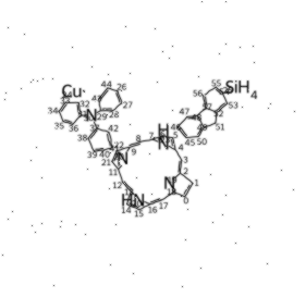 C1=Cc2cc3ccc(cc4nc(cc5ccc(cc1n2)[nH]5)C=C4)[nH]3.[Cu].[SiH4].c1ccc(N(c2ccccc2)c2ccccc2)cc1.c1ccc2c(c1)Cc1ccccc1-2